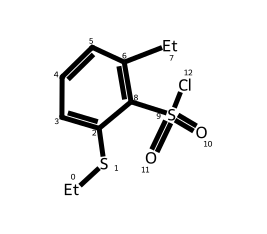 CCSc1cccc(CC)c1S(=O)(=O)Cl